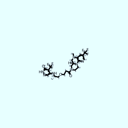 C[C@@H](COCCC(=O)N1CCN2c3ncc(C(F)(F)F)cc3N(C)C[C@H]2C1)Nc1cn[nH]c(=O)c1C(F)(F)F